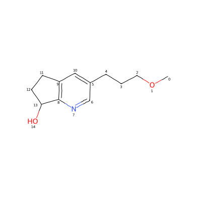 COCCCc1cnc2c(c1)CCC2O